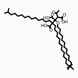 CC(=O)C(C(=O)O)C(OCCCCCCCCCCCCC(C)C)(C(=O)O)C(CCCCCCCCCCCCC(C)C)(CCCCCCCCCCCCC(C)C)C(=O)O